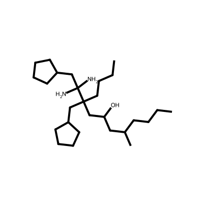 CCCCC(C)CC(O)CC(CCCC)(CC1CCCC1)C(N)(N)CC1CCCC1